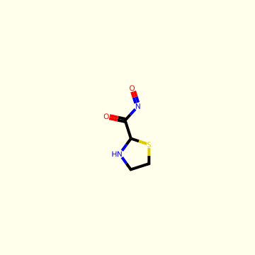 O=NC(=O)C1NCCS1